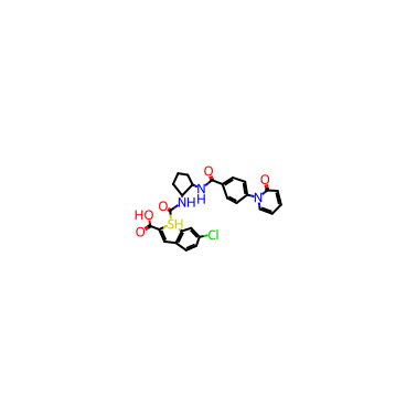 O=C(O)C1=Cc2ccc(Cl)cc2[SH]1C(=O)NC1CCCC1NC(=O)c1ccc(-n2ccccc2=O)cc1